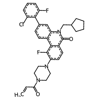 C=CC(=O)N1CCN(c2ccc3c(=O)n(CC4CCCC4)c4cc(-c5c(F)cccc5Cl)ccc4c3c2F)CC1